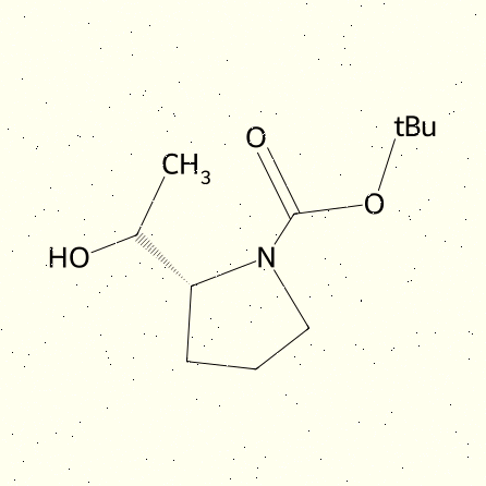 CC(O)[C@H]1CCCN1C(=O)OC(C)(C)C